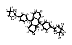 CC1(C)COC(c2ccc(-c3c4ccccc4c(-c4ccc(C5=NC(C)(C)C(C)(C)O5)cc4)c4ccccc34)cc2)=N1